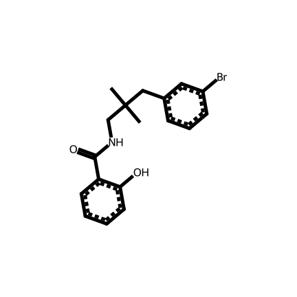 CC(C)(CNC(=O)c1ccccc1O)Cc1cccc(Br)c1